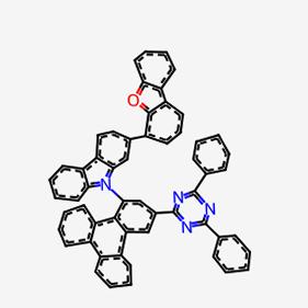 c1ccc(-c2nc(-c3ccccc3)nc(-c3cc(-n4c5ccccc5c5ccc(-c6cccc7c6oc6ccccc67)cc54)c4c5ccccc5c5ccccc5c4c3)n2)cc1